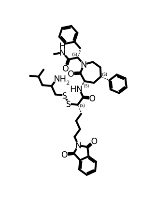 CNC(=O)[C@H](Cc1ccccc1)N1CC[C@H](c2ccccc2)C[C@H](NC(=O)[C@H](CCCCN2C(=O)c3ccccc3C2=O)SSCC(N)CC(C)C)C1=O